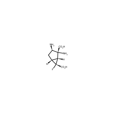 N[C@@H]1C[C@@H]2[C@H]([C@]1(N)C(=O)O)[C@@]2(F)C(=O)O